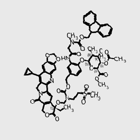 CC[C@@]1(OCN(CCS(C)(=O)=O)C(=O)OCc2ccc(O[C@@H]3O[C@H](C(=O)OC)[C@@H](OC(C)=O)[C@H](C)[C@H]3C)c(NC(=O)CN(C)C(=O)OCC3c4ccccc4-c4ccccc43)c2)C(=O)OCc2c1cc1n(c2=O)Cc2c-1nc1cc3c(cc1c2C1CC1)OCO3